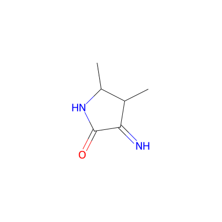 CC1NC(=O)C(=N)C1C